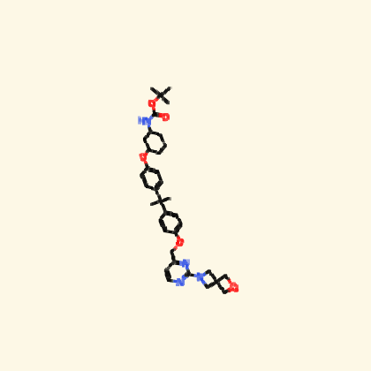 CC(C)(C)OC(=O)NC1CCCC(Oc2ccc(C(C)(C)c3ccc(OCc4ccnc(N5CC6(COC6)C5)n4)cc3)cc2)C1